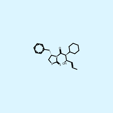 C/C=C/[C@@H](O)[C@@H](C(=O)N1C(=S)SC[C@@H]1Cc1ccccc1)C1CCCCC1